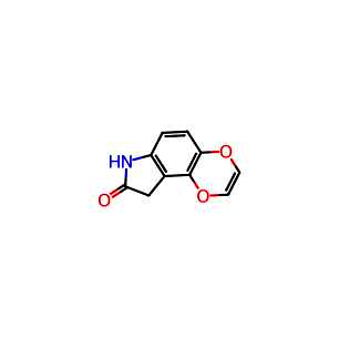 O=C1Cc2c(ccc3c2OC=CO3)N1